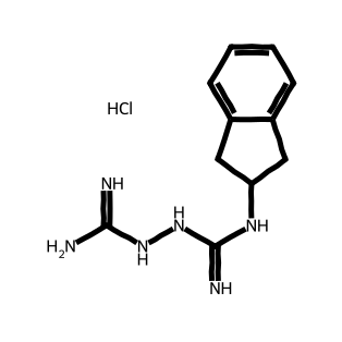 Cl.N=C(N)NNC(=N)NC1Cc2ccccc2C1